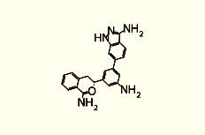 NC(=O)c1ccccc1C[CH]c1cc(N)cc(-c2ccc3c(N)n[nH]c3c2)c1